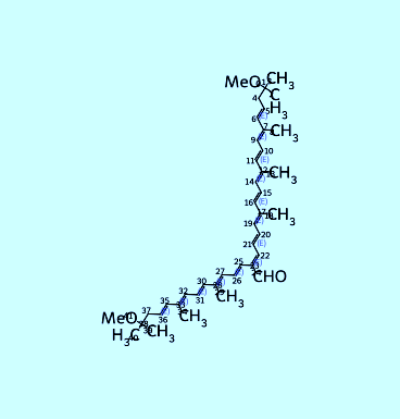 COC(C)(C)C/C=C/C(C)=C/C=C/C(C)=C/C=C/C(C)=C/C=C/C=C(C=O)\C=C\C=C(C)\C=C\C=C(C)\C=C\CC(C)(C)OC